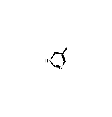 CC1=CN=CNC1